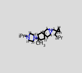 CC(C)CC1(CN2CCC3(CC2)CCC(C)(N2CCN(C(C)C)CC2)CC3)CC1